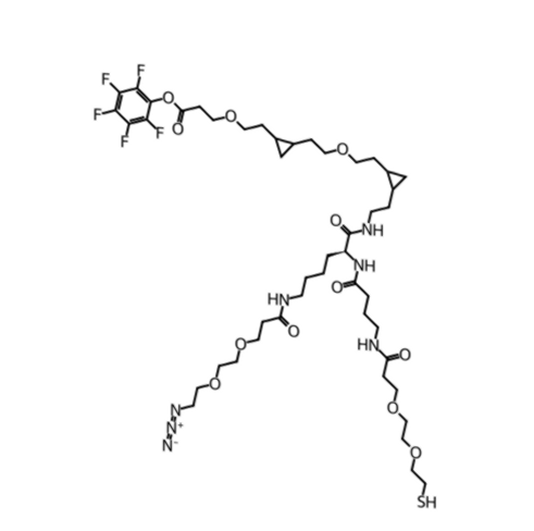 [N-]=[N+]=NCCOCCOCCC(=O)NCCCC[C@H](NC(=O)CCCNC(=O)CCOCCOCCS)C(=O)NCCC1CC1CCOCCC1CC1CCOCCC(=O)Oc1c(F)c(F)c(F)c(F)c1F